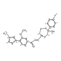 COc1cc(C(=O)/C=C/N2CCCC(O)(c3ccc(F)cc3)CC2)ccc1-n1cnc(C)c1